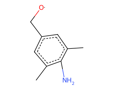 Cc1cc(C[O])cc(C)c1N